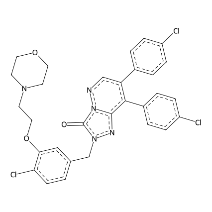 O=c1n(Cc2ccc(Cl)c(OCCN3CCOCC3)c2)nc2c(-c3ccc(Cl)cc3)c(-c3ccc(Cl)cc3)cnn12